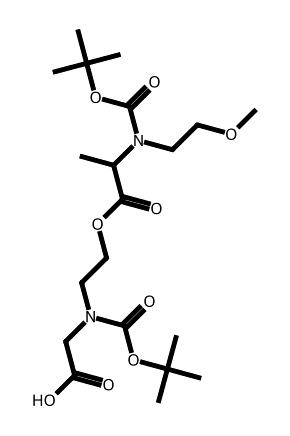 COCCN(C(=O)OC(C)(C)C)C(C)C(=O)OCCN(CC(=O)O)C(=O)OC(C)(C)C